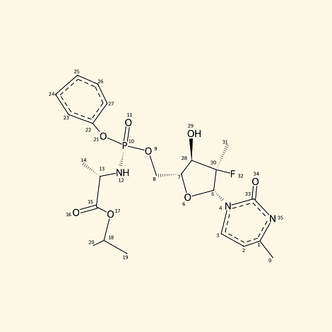 Cc1ccn([C@@H]2O[C@H](CO[P@@](=O)(N[C@@H](C)C(=O)OC(C)C)Oc3ccccc3)[C@@H](O)[C@@]2(C)F)c(=O)n1